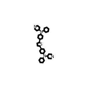 c1ccc(N(c2ccncc2)c2ccc(-c3ccc(-c4ccc(N(c5ccccc5)c5ccncc5)cc4)s3)cc2)cc1